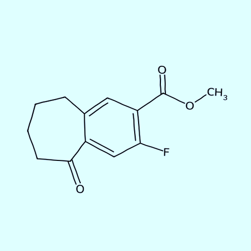 COC(=O)c1cc2c(cc1F)C(=O)CCCC2